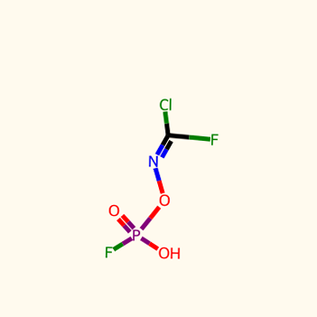 O=P(O)(F)O/N=C(\F)Cl